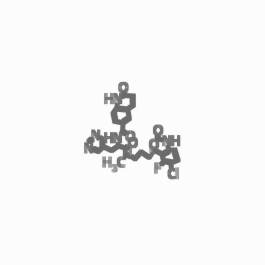 CN(CCC[C@H]1OC(=O)Nc2ccc(Cl)c(F)c21)C(=O)C(Cc1cncnc1)NC(=O)c1ccc2[nH]c(=O)ccc2c1